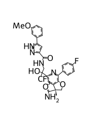 COc1cccc(-c2cc(C(=O)NCC(O)(c3cc4c(c(-c5ccc(F)cc5)n3)OC[C@]4(C)C(N)=O)C(F)(F)F)n[nH]2)c1